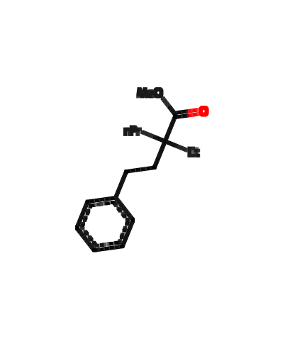 CCCC(CC)(CCc1ccccc1)C(=O)OC